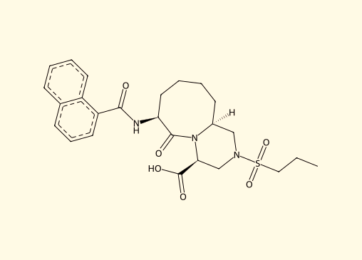 CCCS(=O)(=O)N1C[C@@H]2CCCC[C@H](NC(=O)c3cccc4ccccc34)C(=O)N2[C@H](C(=O)O)C1